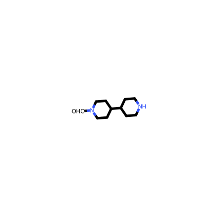 O=[C]N1CCC(C2CCNCC2)CC1